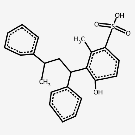 Cc1c(S(=O)(=O)O)ccc(O)c1C(CC(C)c1ccccc1)c1ccccc1